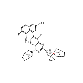 C#Cc1c(F)ccc2cc(O)cc(-c3ccc4c(N5CC6CCC(C5)N6)nc(OCC5(CN6C7CCC6CC(O)C7)CC5)nc4c3F)c12